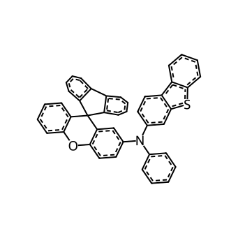 c1ccc(N(c2ccc3c(c2)C2(c4ccccc4O3)c3ccccc3-c3ccccc32)c2ccc3c(c2)sc2ccccc23)cc1